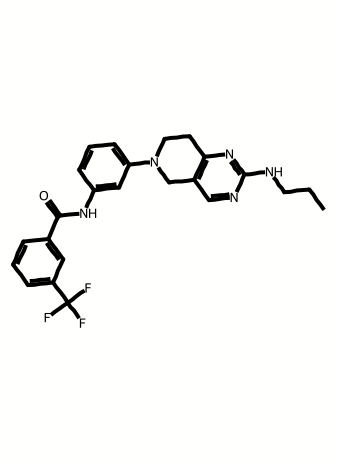 CCCNc1ncc2c(n1)CCN(c1cccc(NC(=O)c3cccc(C(F)(F)F)c3)c1)C2